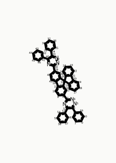 c1ccc(-c2nnc(-c3ccc4c(c3)C3(c5ccccc5-c5ccccc53)c3cc(-c5nnc(-c6ccccc6)c(-c6ccccc6)n5)ccc3-4)nc2-c2ccccc2)cc1